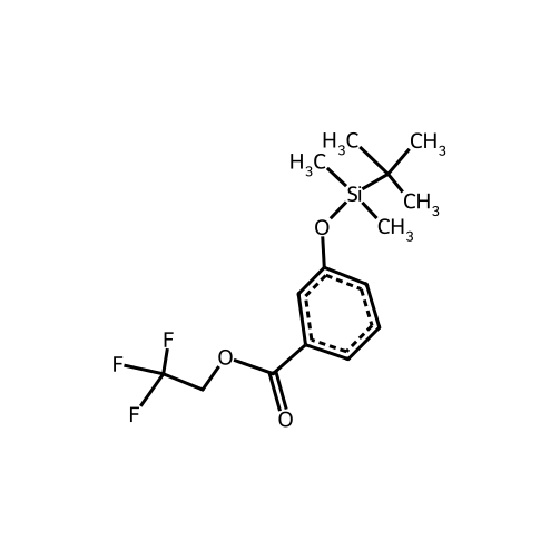 CC(C)(C)[Si](C)(C)Oc1cccc(C(=O)OCC(F)(F)F)c1